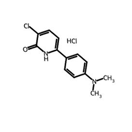 CN(C)c1ccc(-c2ccc(Cl)c(=O)[nH]2)cc1.Cl